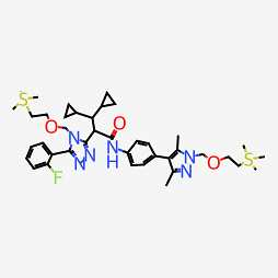 Cc1nn(COCCS(C)(C)C)c(C)c1-c1ccc(NC(=O)C(c2nnc(-c3ccccc3F)n2COCCS(C)(C)C)C(C2CC2)C2CC2)cc1